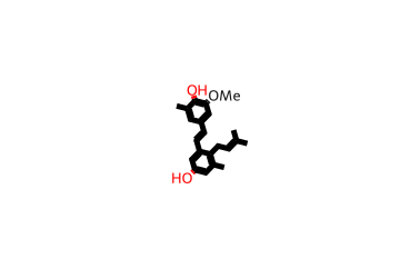 COc1cc(/C=C/c2cc(O)cc(C)c2CC=C(C)C)cc(C)c1O